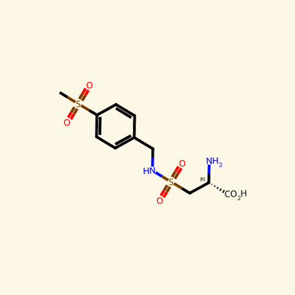 CS(=O)(=O)c1ccc(CNS(=O)(=O)C[C@H](N)C(=O)O)cc1